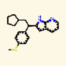 CSc1ccc(C(CC2CCCC2)c2cc3cccnc3[nH]2)cc1